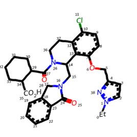 CCn1ccc(COc2ccc(Cl)c3c2C(CN2Cc4ccccc4C2=O)N(C(=O)C2CCCCC2C(=O)O)CC3)n1